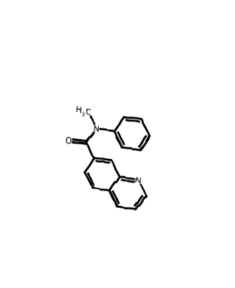 CN(C(=O)c1ccc2cccnc2c1)c1ccccc1